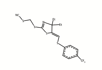 CCC1(CC)N=C(SCSC#N)SC1=CSc1ccc(C(F)(F)F)cc1